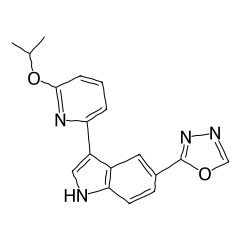 CC(C)Oc1cccc(-c2c[nH]c3ccc(-c4nnco4)cc23)n1